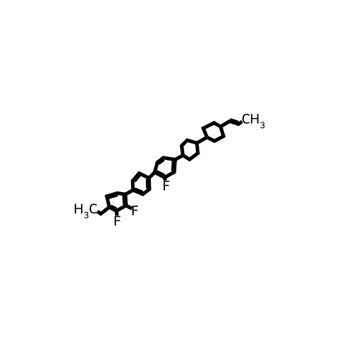 C/C=C/C1CCC(C2CCC(c3ccc(-c4ccc(-c5ccc(CC)c(F)c5F)cc4)c(F)c3)CC2)CC1